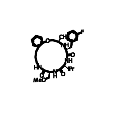 COC[C@@H]1NC(=O)[C@@H](C(C)C)NC(=O)[C@@H](Cc2cccc(F)c2)N[C@@H](C)COc2ccccc2CCCNC1=O